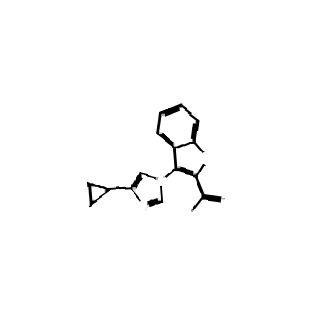 O=C(Cl)c1oc2ccccc2c1-n1cnc(C2CC2)c1